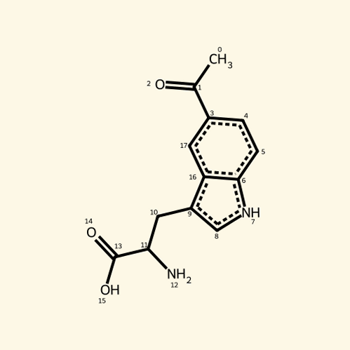 CC(=O)c1ccc2[nH]cc(CC(N)C(=O)O)c2c1